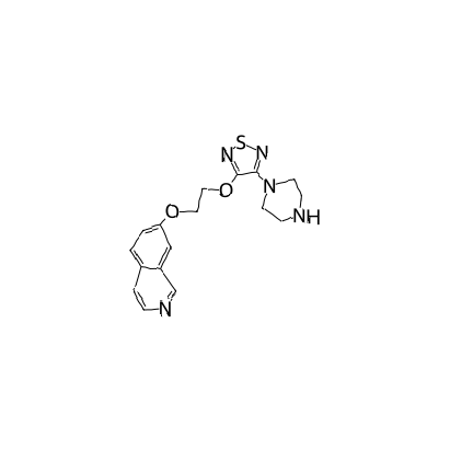 c1cc2ccc(OCCOc3nsnc3N3CCNCC3)cc2cn1